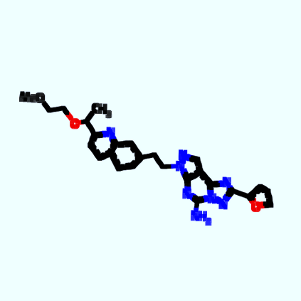 COCCOC(C)c1ccc2ccc(CCn3ncc4c3nc(N)n3nc(-c5ccco5)nc43)cc2n1